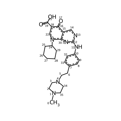 CN1CCN(CCc2ccc(Nc3ncc4c(=O)c(C(=O)O)cn(C5CCCCC5)c4n3)cc2)CC1